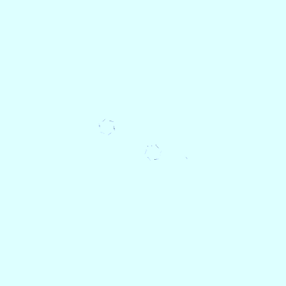 C=CCOc1ccc2c(c1)CC(CCc1ccc(Cl)cc1)O2